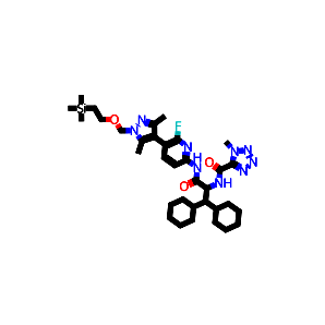 Cc1nn(COCC[Si](C)(C)C)c(C)c1-c1ccc(NC(=O)C(NC(=O)c2nnnn2C)C(C2CCCCC2)C2CCCCC2)nc1F